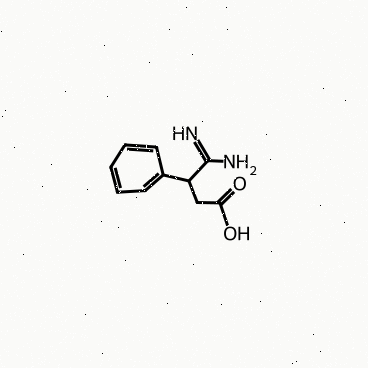 N=C(N)C(CC(=O)O)c1ccccc1